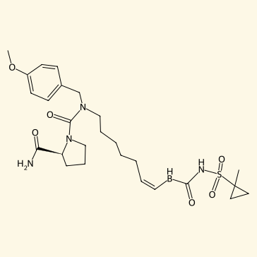 COc1ccc(CN(CCCCC/C=C\BC(=O)NS(=O)(=O)C2(C)CC2)C(=O)N2CCC[C@H]2C(N)=O)cc1